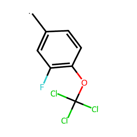 [CH2]c1ccc(OC(Cl)(Cl)Cl)c(F)c1